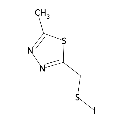 Cc1nnc(CSI)s1